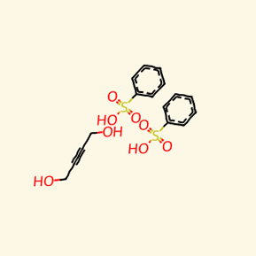 O=S(=O)(O)c1ccccc1.O=S(=O)(O)c1ccccc1.OCC#CCO